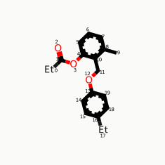 CCC(=O)Oc1cccc(C)c1COc1ccc(CC)cc1